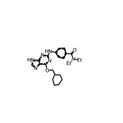 CCN(CC)C(=O)c1ccc(Nc2nc(OCC3CCCCC3)c3nc[nH]c3n2)cc1